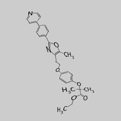 CCOC(=O)C(C)(C)Oc1ccc(OCCc2nc(-c3ccc(-c4ccncc4)cc3)oc2C)cc1